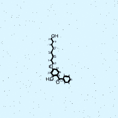 O=C(c1ccccc1)c1ccc(OCCCCCCCCO)cc1O